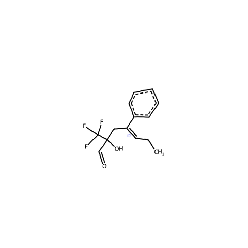 CC/C=C(/CC(O)(C=O)C(F)(F)F)c1ccccc1